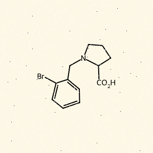 O=C(O)C1CCCN1Cc1ccccc1Br